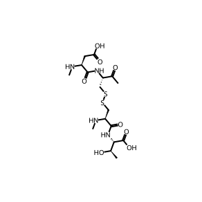 CN[C@@H](CC(=O)O)C(=O)N[C@@H](CSSC[C@H](NC)C(=O)N[C@H](C(=O)O)[C@@H](C)O)C(C)=O